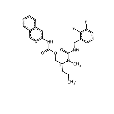 [CH2]CC[C@@H](COC(=O)Nc1cc2ccccc2cn1)N(C)C(=O)NCc1cccc(F)c1F